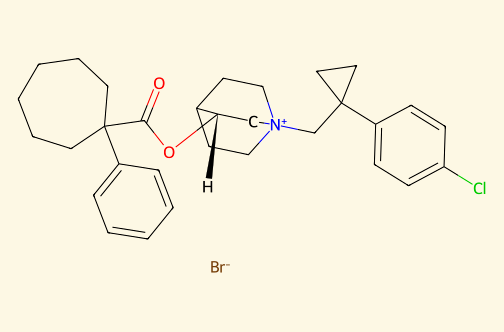 O=C(O[C@H]1C[N+]2(CC3(c4ccc(Cl)cc4)CC3)CCC1CC2)C1(c2ccccc2)CCCCCC1.[Br-]